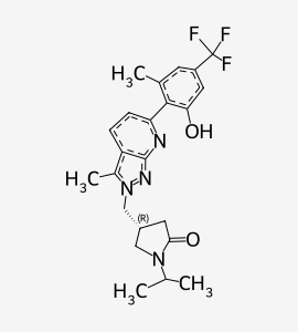 Cc1cc(C(F)(F)F)cc(O)c1-c1ccc2c(C)n(C[C@@H]3CC(=O)N(C(C)C)C3)nc2n1